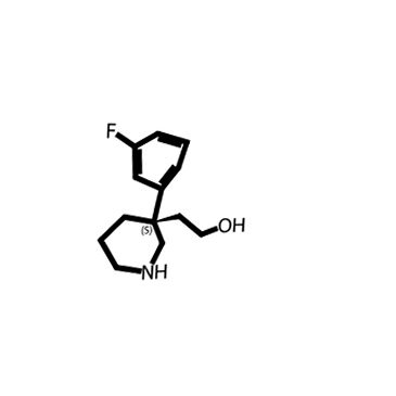 OCC[C@]1(c2cccc(F)c2)CCCNC1